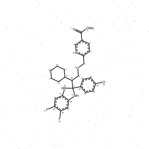 COC(=O)c1ccc(COCC(C2CCCCC2)C2(c3ccc(Cl)cc3)Nc3cc(F)c(F)cc3N2)nc1